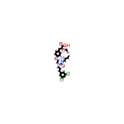 CCCCNC(=O)N(CCCc1cc(Cl)cc(Cl)c1)CCOc1ccc(CC(OCC)C(=O)O)cc1